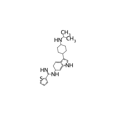 CC(C)NC1CCC(c2c[nH]c3c2=CCC(NC(=N)c2cccs2)C=3)CC1